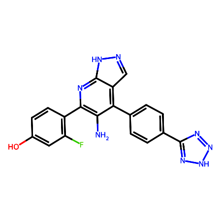 Nc1c(-c2ccc(O)cc2F)nc2[nH]ncc2c1-c1ccc(-c2nn[nH]n2)cc1